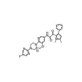 Cc1cc(-c2ccccc2)c(C(=O)C(=O)Nc2cnc3c(c2)OC[C@@H]2CN(c4ncc(F)cn4)CCN32)n1C